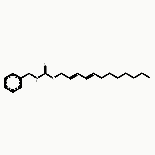 CCCCCCC/C=C/C=C/COC(=O)NCc1ccccc1